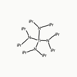 CC(C)[N](C(C)C)[Ti]([N](C(C)C)C(C)C)([N](C(C)C)C(C)C)[N](C(C)C)C(C)C